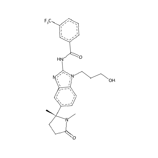 CN1C(=O)CC[C@]1(C)c1ccc2c(c1)nc(NC(=O)c1cccc(C(F)(F)F)c1)n2CCCO